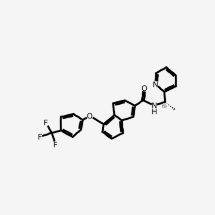 C[C@H](NC(=O)c1ccc2c(Oc3ccc(C(F)(F)F)cc3)cccc2c1)c1ccccn1